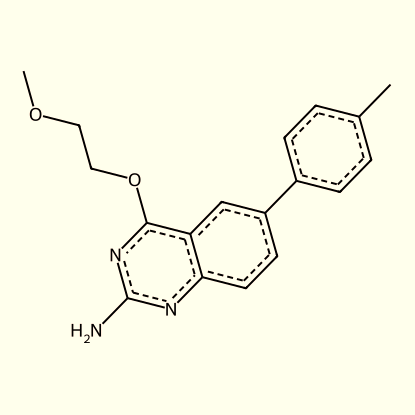 COCCOc1nc(N)nc2ccc(-c3ccc(C)cc3)cc12